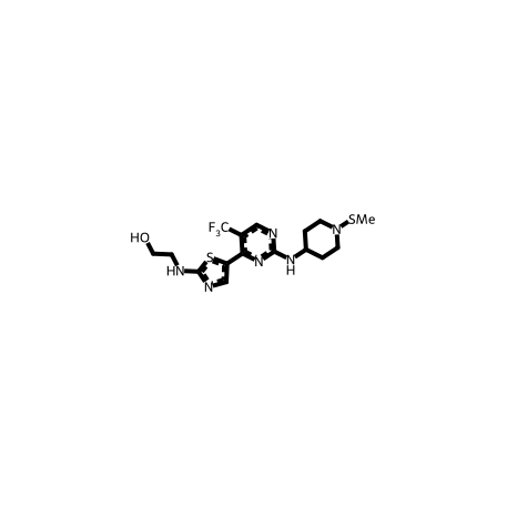 CSN1CCC(Nc2ncc(C(F)(F)F)c(-c3cnc(NCCO)s3)n2)CC1